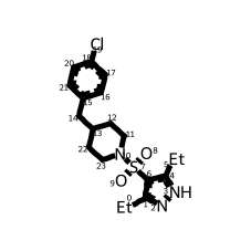 CCc1n[nH]c(CC)c1S(=O)(=O)N1CCC(Cc2ccc(Cl)cc2)CC1